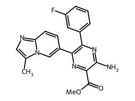 COC(=O)c1nc(-c2ccc3ncc(C)n3c2)c(-c2cccc(F)c2)nc1N